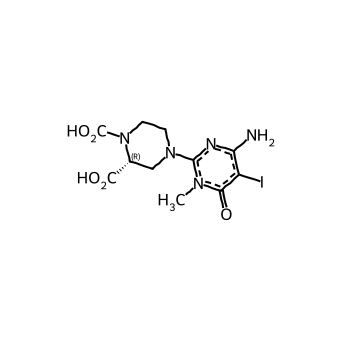 Cn1c(N2CCN(C(=O)O)[C@@H](C(=O)O)C2)nc(N)c(I)c1=O